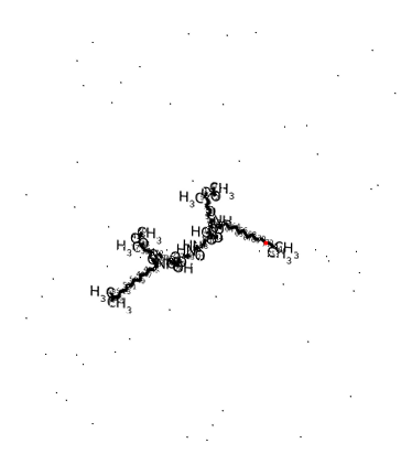 CC(=O)O[C@H](C)CCOC[C@H](COP(=O)(O)OCCNC(=O)NCCOP(=O)(O)OC[C@@H](COCC[C@@H](C)OC(C)=O)NC(=O)CCCCCCCCCCCC(C)C)NC(=O)CCCCCCCCCCCC(C)C